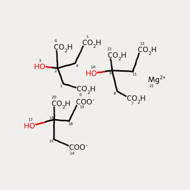 O=C(O)CC(O)(CC(=O)O)C(=O)O.O=C(O)CC(O)(CC(=O)O)C(=O)O.O=C([O-])CC(O)(CC(=O)[O-])C(=O)O.[Mg+2]